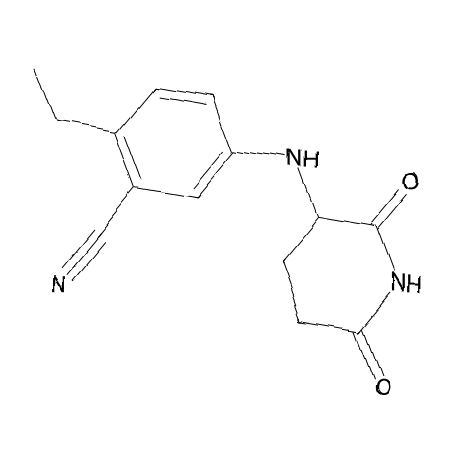 CCc1ccc(NC2CCC(=O)NC2=O)cc1C#N